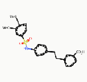 COc1ccc(S(=O)(=O)Nc2ccc(CCc3cccc(C(=O)O)c3)cc2)cc1OC